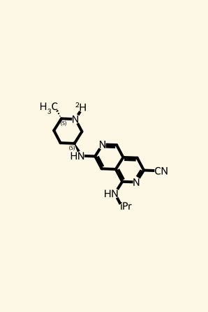 [2H]N1C[C@@H](Nc2cc3c(NC(C)C)nc(C#N)cc3cn2)CC[C@@H]1C